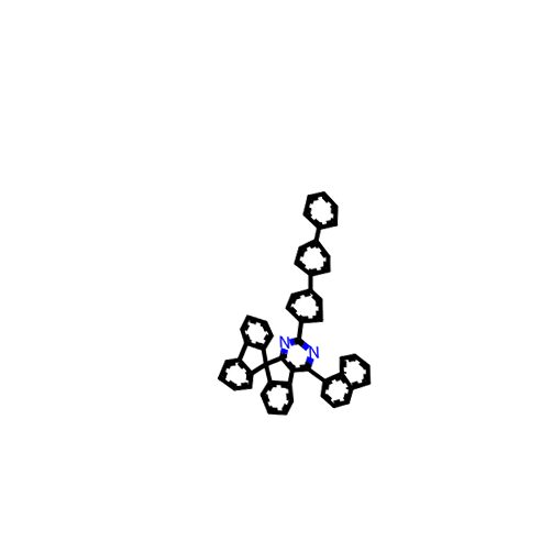 c1ccc(-c2ccc(-c3ccc(-c4nc(-c5cccc6ccccc56)c5c(n4)C4(c6ccccc6-c6ccccc64)c4ccccc4-5)cc3)cc2)cc1